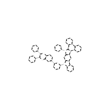 c1ccc(-c2nc3ccc(-c4cccc(-n5c6ccccc6c6cc7c8c9ccccc9c9ccccc9c8n(-c8ccccc8)c7cc65)n4)cc3nc2-c2ccccc2)cc1